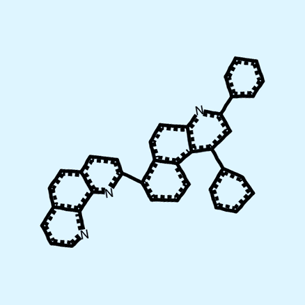 c1ccc(-c2cc(-c3ccccc3)c3c(ccc4c(-c5ccc6ccc7cccnc7c6n5)cccc43)n2)cc1